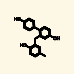 Cc1ccc(O)c(Cc2cc(O)ccc2-c2ccc(O)cc2)c1